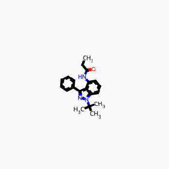 CCC(=O)Nc1cccc2c1c(-c1ccccc1)nn2C(C)(C)C